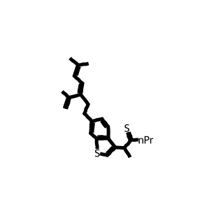 C=C(C)/C(=C\C=C(C)C)CCc1ccc2c(C(C)C(=S)CCC)csc2c1